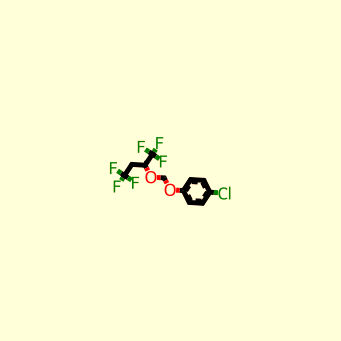 FC(F)(F)C[C](OCOc1ccc(Cl)cc1)C(F)(F)F